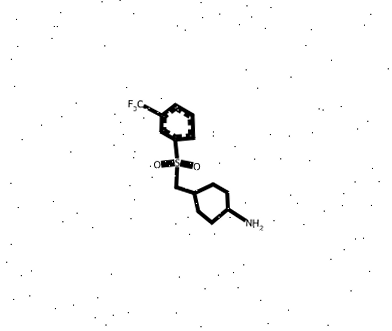 NC1CCC(CS(=O)(=O)c2cccc(C(F)(F)F)c2)CC1